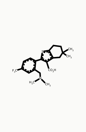 CN(C)Cc1cc(C(F)(F)F)ccc1-c1sc2c(c1C(=O)O)CC(C)(C)CC2